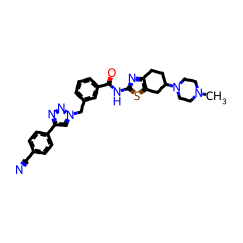 CN1CCN(C2CCc3nc(NC(=O)c4cccc(Cn5cc(-c6ccc(C#N)cc6)nn5)c4)sc3C2)CC1